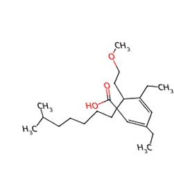 CCC1=CC(CCCCCC(C)C)(C(=O)O)C(CCOC)C(CC)=C1